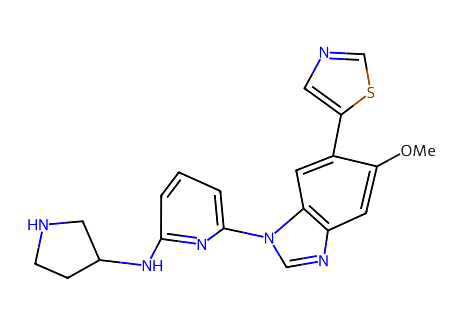 COc1cc2ncn(-c3cccc(NC4CCNC4)n3)c2cc1-c1cncs1